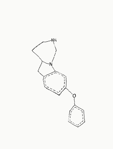 c1ccc(Oc2ccc3c(c2)N2CNCCC2C3)cc1